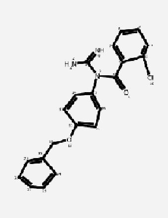 N=C(N)N(C(=O)c1ccccc1Cl)c1ccc(OCc2ccccc2)cc1